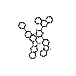 c1ccc(-c2cccc(-c3nc(-c4ccc5oc6ccccc6c5c4-n4c5ccccc5c5cc6ccccc6cc54)nc(-c4cc5ccccc5c5ccccc45)n3)c2)cc1